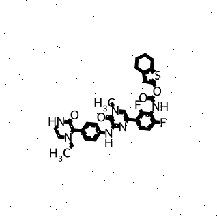 CCN1CCNC(=O)C1c1ccc(Nc2nc(-c3ccc(F)c(NC(=O)Oc4cc5c(s4)CCCC5)c3F)cn(C)c2=O)cc1